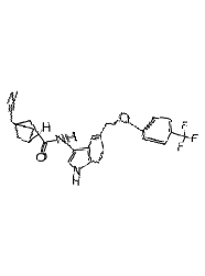 N#CC12CC(C1)[C@H](C(=O)Nc1c[nH]c3ccc(CCOc4ccc(C(F)(F)F)cc4)cc13)C2